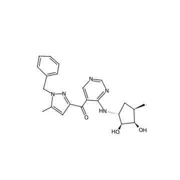 [CH2][C@@H]1C[C@@H](Nc2ncncc2C(=O)c2cc(C)n(Cc3ccccc3)n2)[C@H](O)[C@@H]1O